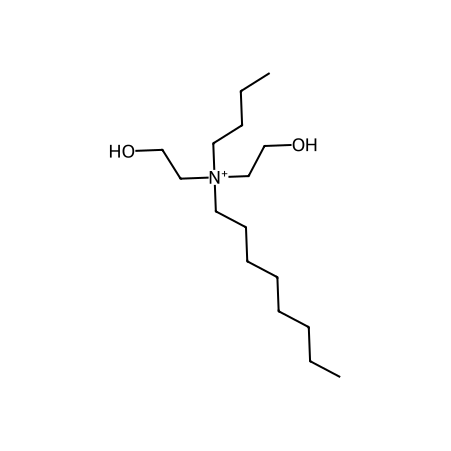 CCCCCCCC[N+](CCO)(CCO)CCCC